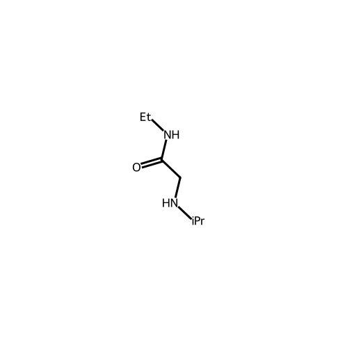 CCNC(=O)CNC(C)C